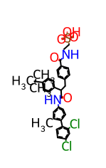 Cc1cc(NC(=O)C(Cc2ccc(C(=O)NCCS(=O)(=O)O)cc2)c2ccc(C(C)(C)C)cc2)ccc1-c1ccc(Cl)cc1Cl